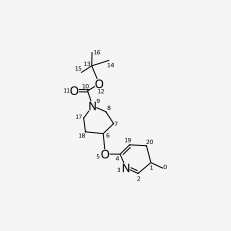 CC1C=NC(OC2CCN(C(=O)OC(C)(C)C)CC2)=CC1